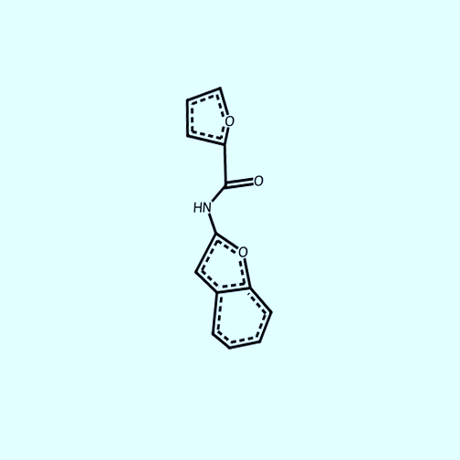 O=C(Nc1cc2ccccc2o1)c1ccco1